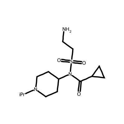 CC(C)N1CCC(N(C(=O)C2CC2)S(=O)(=O)CCN)CC1